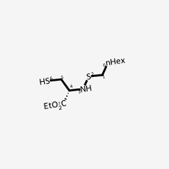 CCCCCCCSN[C@@H](CS)C(=O)OCC